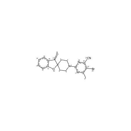 Cc1nc(N2CCC3(CC2)Oc2ccccc2C3=O)nc(C#N)c1Br